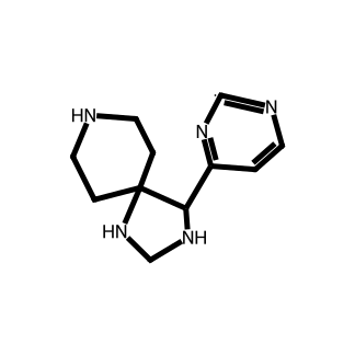 [c]1nccc(C2NCNC23CCNCC3)n1